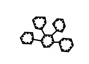 [c]1cc(-c2ccccc2)c(-c2ccccc2)c(-c2ccccc2)c1-c1ccccc1